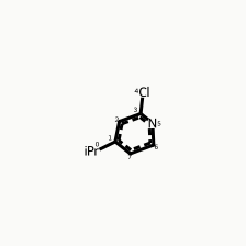 CC(C)c1[c]c(Cl)ncc1